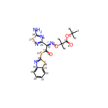 CC(C)(C)OC(=O)C(C)(C)O/N=C(\C(=O)Sc1nc2ccccc2s1)c1nsc(N)n1